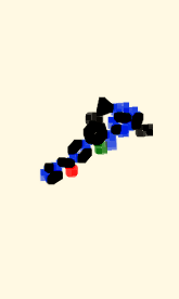 N#Cc1cc(Nc2nc(NC3CC3)c3ncc(C#N)n3n2)c(Cl)c(N2CCN(C(=O)Cn3ccnc3)CC2)c1